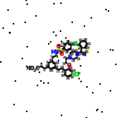 Cl.O=C(O)CCc1cc(CCNS(=O)(=O)c2ccc(Cl)cc2)cc(CCc2ccccc2OCCN2CCN(c3nsc4ccccc34)CC2)c1